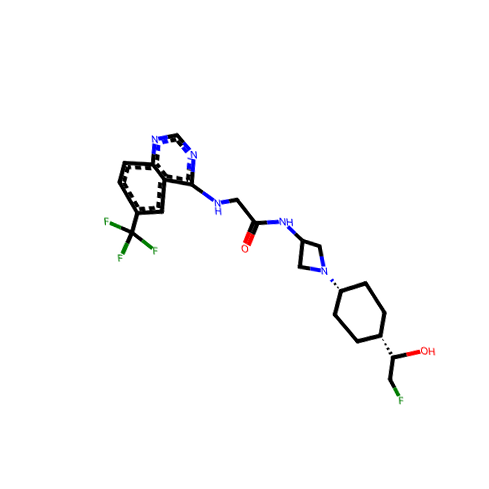 O=C(CNc1ncnc2ccc(C(F)(F)F)cc12)NC1CN([C@H]2CC[C@@H](C(O)CF)CC2)C1